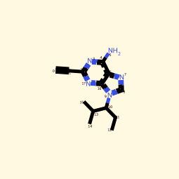 C#Cc1nc(N)c2ncn(C(CC)C(C)C)c2n1